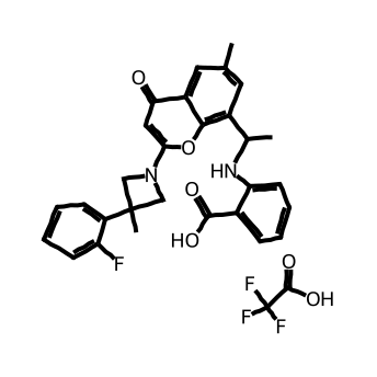 Cc1cc(C(C)Nc2ccccc2C(=O)O)c2oc(N3CC(C)(c4ccccc4F)C3)cc(=O)c2c1.O=C(O)C(F)(F)F